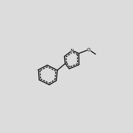 COc1ccc(-c2c[c]ccc2)cn1